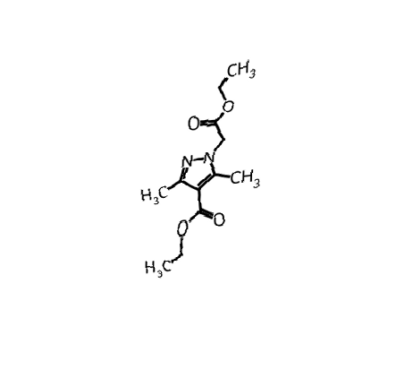 CCOC(=O)Cn1nc(C)c(C(=O)OCC)c1C